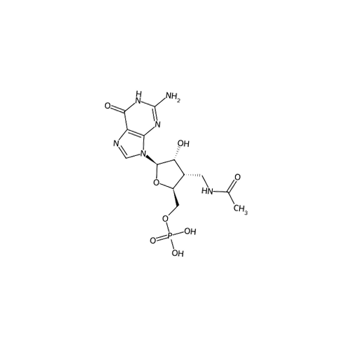 CC(=O)NC[C@H]1[C@@H](O)[C@H](n2cnc3c(=O)[nH]c(N)nc32)O[C@@H]1COP(=O)(O)O